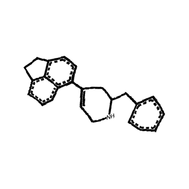 C1=C(c2ccc3c4c(cccc24)CC3)CC(Cc2ccccc2)NC1